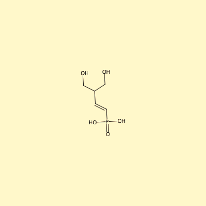 O=P(O)(O)C=CC(CO)CO